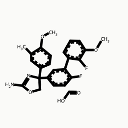 COc1ccc(C2(c3ccc(F)c(-c4cccc(OC)c4F)c3)COC(N)=N2)cc1C.O=CO